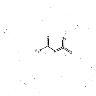 NC(=O)N=S(=O)=[Se]